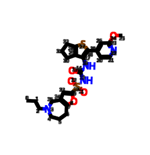 CCCN1CCCc2oc(S(=O)(=O)NC(=O)Nc3c(-c4ccnc(OC)c4)sc4c3CCC4)cc2C1